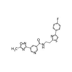 Cc1nc(-c2cncc(C(=O)NCCc3nc(-c4ccc(F)cc4)cs3)c2)no1